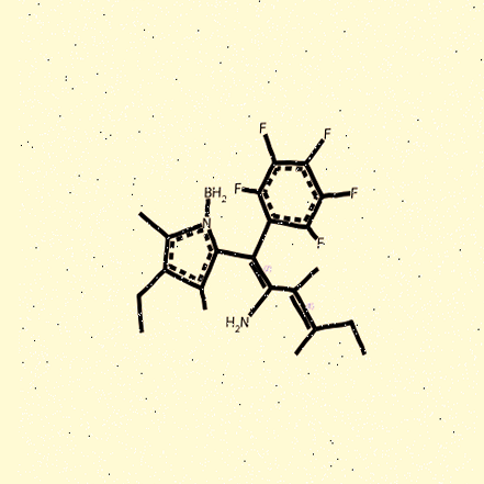 Bn1c(C)c(CC)c(C)c1/C(=C(N)/C(C)=C(\C)CC)c1c(F)c(F)c(F)c(F)c1F